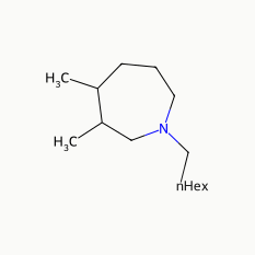 CCCCCCCN1CCCC(C)C(C)C1